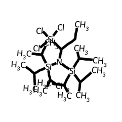 CCC(N([Si](C(C)C)(C(C)C)C(C)C)[Si](C(C)C)(C(C)C)C(C)C)[Si](Cl)(Cl)Cl